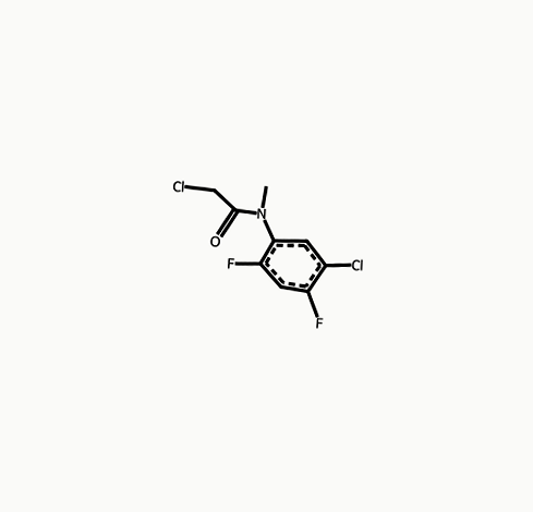 CN(C(=O)CCl)c1cc(Cl)c(F)cc1F